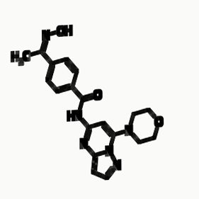 C/C(=N/O)c1ccc(C(=O)Nc2cc(N3CCOCC3)n3nccc3n2)cc1